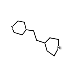 C1CC(CCC2CCNCC2)CC[N]1